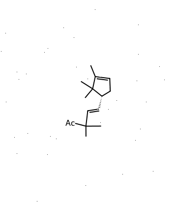 CC(=O)C(C)(C)/C=C/[C@H]1CC=C(C)C1(C)C